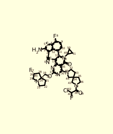 N#Cc1c(N)sc2c(F)ccc(-c3c(F)c4nc(OC[C@@]56CCCN5C[C@H](F)C6)nc(N5CCC6(CCN(C(=O)C(F)Cl)C6)C5)c4c(=O)n3C3CC3)c12